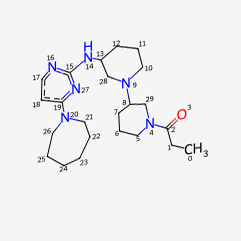 CCC(=O)N1CCCC(N2CCCC(Nc3nccc(N4CCCCCC4)n3)C2)C1